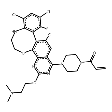 C=CC(=O)N1CCN(c2nc(OCCN(C)C)nc3c4c(c(Cl)cc23)-c2c(F)c(Cl)cc(Cl)c2NCCO4)CC1